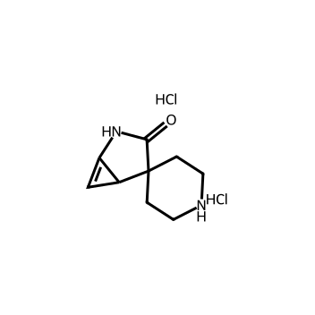 Cl.Cl.O=C1NC2=CC2C12CCNCC2